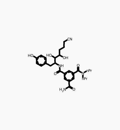 CCCN(CCC)C(=O)c1cc(C(N)=O)cc(C(=O)NC(Cc2ccc(O)cc2)C(O)C(O)CCCC#N)c1